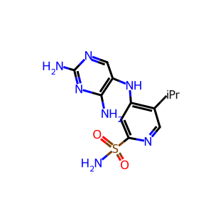 CC(C)c1cnc(S(N)(=O)=O)cc1Nc1cnc(N)nc1N